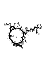 COc1cc2cc(c1Cl)N(C)C(=O)C[C@H](OC(=O)NCCC[SH](C)(C)=O)[C@@]1(C)CC(C)(O1)[C@@H]1C[C@@](O)(NC(=O)O1)[C@H](OC)/C=C/C=C(\C)C2